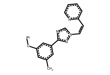 Cc1cc(OC(C)C)cc(-c2ncn(/C=C\c3ccccn3)n2)c1